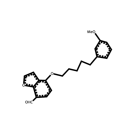 COc1cccc(CCCCCOc2ccc(C=O)c3occc23)c1